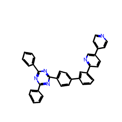 c1ccc(-c2nc(-c3ccccc3)nc(-c3ccc(-c4cccc(-c5ccc(-c6ccncc6)cn5)c4)cc3)n2)cc1